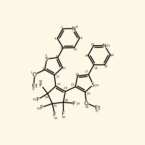 CCOc1sc(-c2ccncc2)cc1C1=C(c2cc(-c3ccncc3)sc2OCC)C(F)(F)C(F)(F)C1(F)F